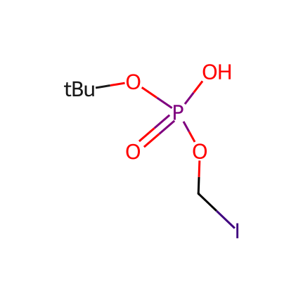 CC(C)(C)OP(=O)(O)OCI